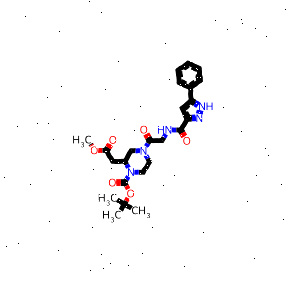 COC(=O)CC1CN(C(=O)CNC(=O)c2cc(-c3ccccc3)[nH]n2)CCN1C(=O)OC(C)(C)C